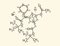 CC(=O)O[C@H]1C[N+]2(CC(=O)OC(C)(C)C)CCC1CC2.CC(C)(C)OC(=O)Nc1ccccc1.[Br-]